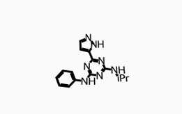 CC(C)Nc1nc(Nc2ccccc2)nc(-c2ccn[nH]2)n1